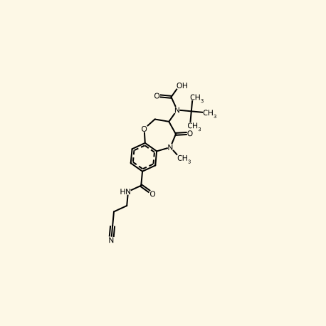 CN1C(=O)C(N(C(=O)O)C(C)(C)C)COc2ccc(C(=O)NCCC#N)cc21